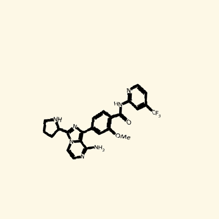 COc1cc(-c2nc(C3CCCN3)n3ccnc(N)c23)ccc1C(=O)Nc1cc(C(F)(F)F)ccn1